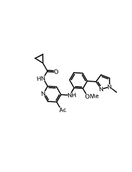 COc1c(Nc2cc(NC(=O)C3CC3)ncc2C(C)=O)cccc1-c1ccn(C)n1